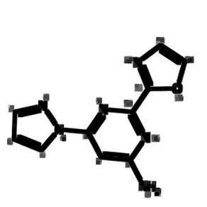 Nc1cc(-n2cccn2)nc(-c2ncco2)n1